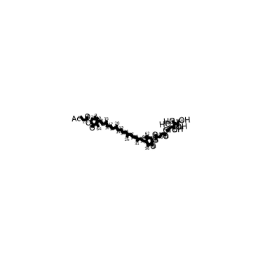 CC(=O)CCC(=O)OC1CC(C)(C)C(/C=C/C(C)=C/C=C/C(C)=C/C=C/C=C(C)/C=C/C=C(C)/C=C/C2=C(C)C(=O)C(OC(=O)CCC(=O)OCC(O)C(O)C(O)C(O)CO)CC2(C)C)=C(C)C1=O